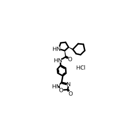 Cl.O=C(Nc1ccc(-c2nc(=O)o[nH]2)cc1)[C@H]1NCC[C@H]1C1CCCCC1